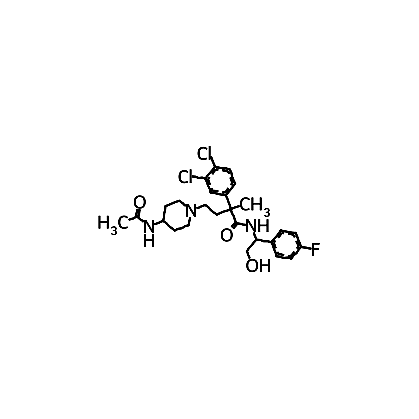 CC(=O)NC1CCN(CCC(C)(C(=O)NC(CO)c2ccc(F)cc2)c2ccc(Cl)c(Cl)c2)CC1